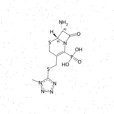 Cn1nnnc1SCC1=C(P(=O)(O)O)N2C(=O)[C@@H](N)[C@H]2SC1